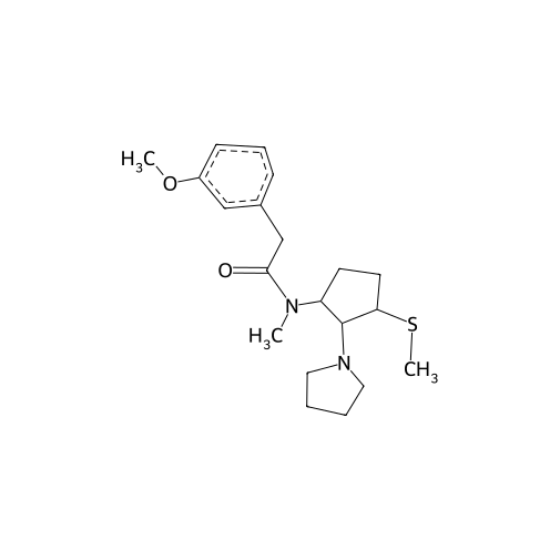 COc1cccc(CC(=O)N(C)C2CCC(SC)C2N2CCCC2)c1